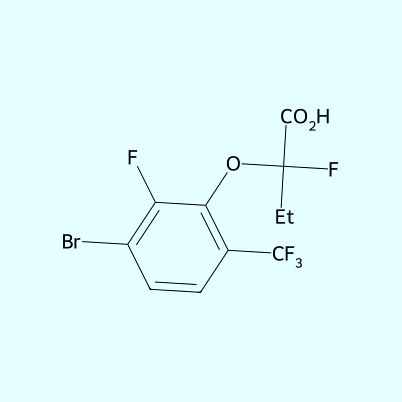 CCC(F)(Oc1c(C(F)(F)F)ccc(Br)c1F)C(=O)O